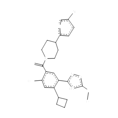 CCOc1nnc(-c2cc(C(=O)N3CCC(c4ccc(N)cc4)CC3)c(C)cc2C2CCC2)[nH]1